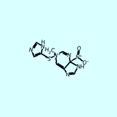 C[N+]1(Sc2cnc[nH]2)C=NC2([N+](=O)[O-])NC=NC2=C1